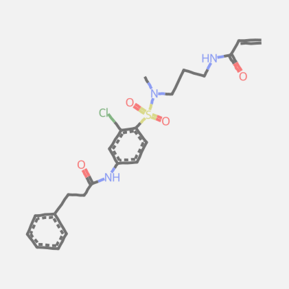 C=CC(=O)NCCCN(C)S(=O)(=O)c1ccc(NC(=O)CCc2ccccc2)cc1Cl